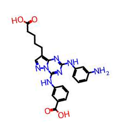 Nc1cccc(Nc2nc(Nc3cccc(C(=O)O)c3)n3ncc(CCCCC(=O)O)c3n2)c1